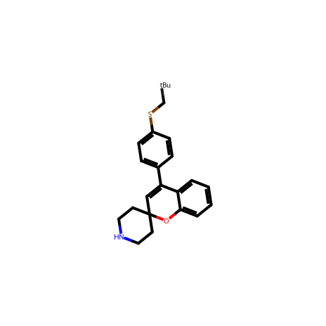 CC(C)(C)CSc1ccc(C2=CC3(CCNCC3)Oc3ccccc32)cc1